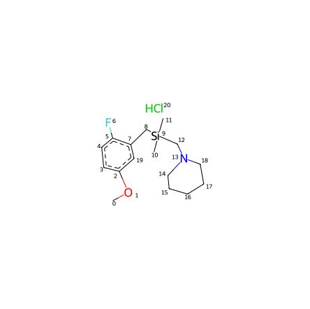 COc1ccc(F)c(C[Si](C)(C)CN2CCCCC2)c1.Cl